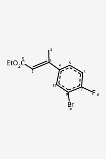 CCOC(=O)C=C(C)c1ccc(F)c(Br)c1